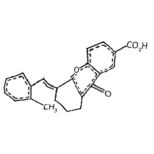 Cc1ccccc1C=C1CCCc2c1oc1ccc(C(=O)O)cc1c2=O